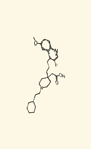 COc1ccc2ncc(F)c(CCCC3(CC(=O)O)CCN(CCC4CCCCC4)CC3)c2c1